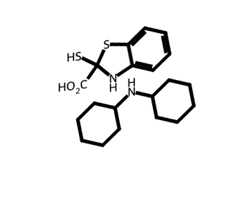 C1CCC(NC2CCCCC2)CC1.O=C(O)C1(S)Nc2ccccc2S1